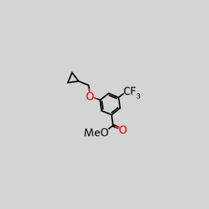 COC(=O)c1cc(OCC2CC2)cc(C(F)(F)F)c1